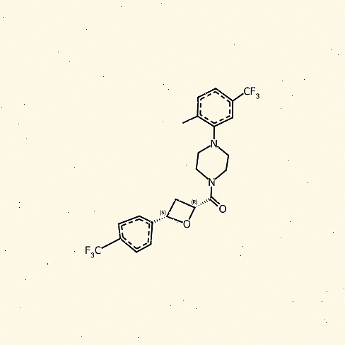 Cc1ccc(C(F)(F)F)cc1N1CCN(C(=O)[C@H]2C[C@@H](c3ccc(C(F)(F)F)cc3)O2)CC1